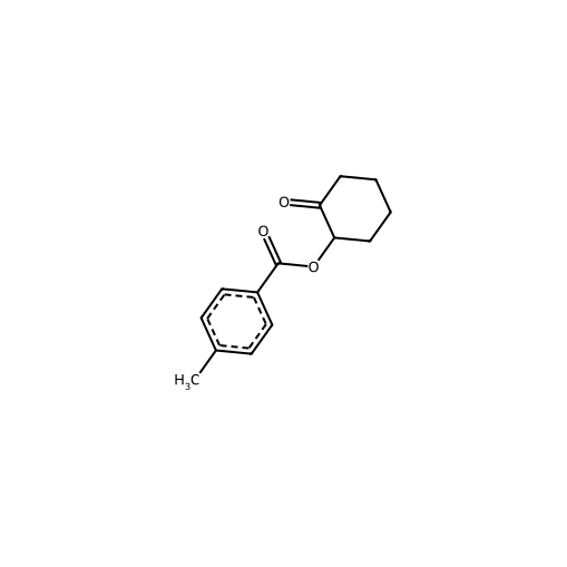 Cc1ccc(C(=O)OC2CCCCC2=O)cc1